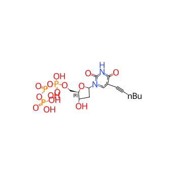 CCCCC#Cc1cn(C2CC(O)[C@@H](COP(=O)(O)OP(=O)(O)OP(=O)(O)O)O2)c(=O)[nH]c1=O